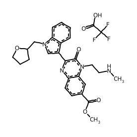 CNCCn1c(=O)c(-c2cn(CC3CCCO3)c3ccccc23)nc2ccc(C(=O)OC)cc21.O=C(O)C(F)(F)F